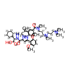 COc1cccc(OC)c1-c1cc(C(=O)N[C@H](C(=O)O)C2CCCCC2)nn1-c1ccc(C(=O)N(C)CCCN(C)CCCN(C)C)cc1C(C)C